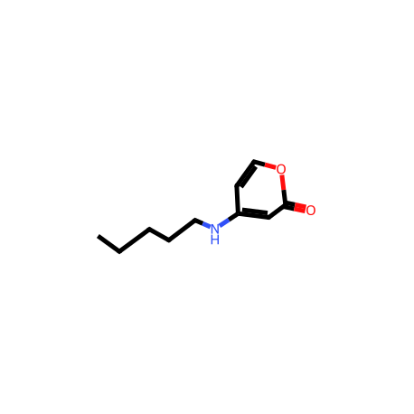 CCCCCNc1ccoc(=O)c1